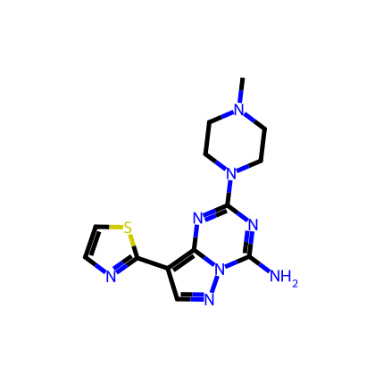 CN1CCN(c2nc(N)n3ncc(-c4nccs4)c3n2)CC1